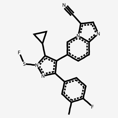 Cc1cc(-c2nn(SF)c(C3CC3)c2-c2ccc3ncc(C#N)n3c2)ccc1F